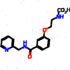 O=C(O)NCCOc1cccc(C(=O)NCc2ccccn2)c1